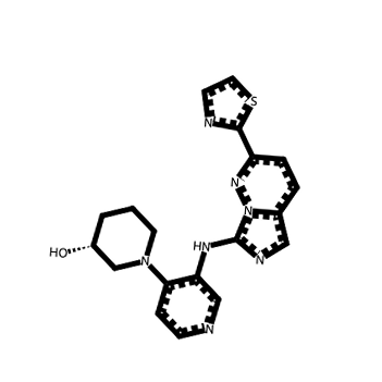 O[C@@H]1CCCN(c2ccncc2Nc2ncc3ccc(-c4nccs4)nn23)C1